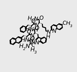 Cc1ccc2nc(NCCCC[C@H](NC(=O)[C@@H](Cc3ccccc3)NC(=O)[C@H](Cc3c[nH]c4ccccc34)NC(=O)[C@@H](Cc3ccc4ccccc4c3)NC(=O)[C@@H](C)N)C(N)=O)ccc2c1